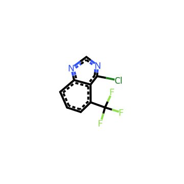 FC(F)(F)c1cccc2ncnc(Cl)c12